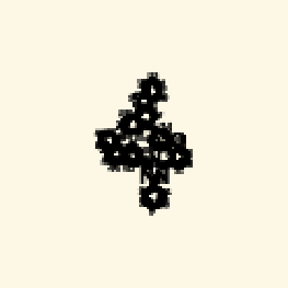 c1ccc(C2=NC(c3cccc4oc5cc(-c6cc7c8ccccc8sc7c7ccccc67)ccc5c34)NC(c3ccc4c(ccc5ccccc54)c3)=N2)cc1